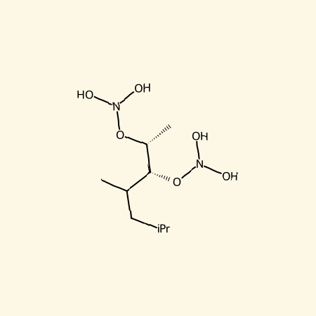 CC(C)CC(C)[C@@H](ON(O)O)[C@@H](C)ON(O)O